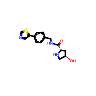 O=C(NCc1ccc(-c2cncs2)cc1)[C@@H]1C[C@@H](O)CN1